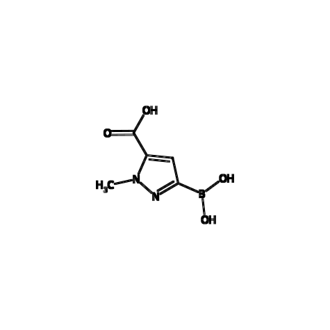 Cn1nc(B(O)O)cc1C(=O)O